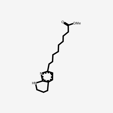 COC(=O)CCCCCCCCc1ccc2c(n1)NCCC2